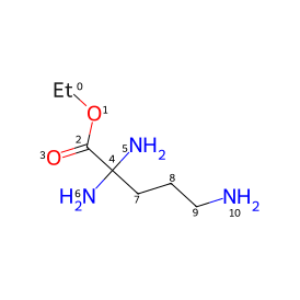 CCOC(=O)C(N)(N)CCCN